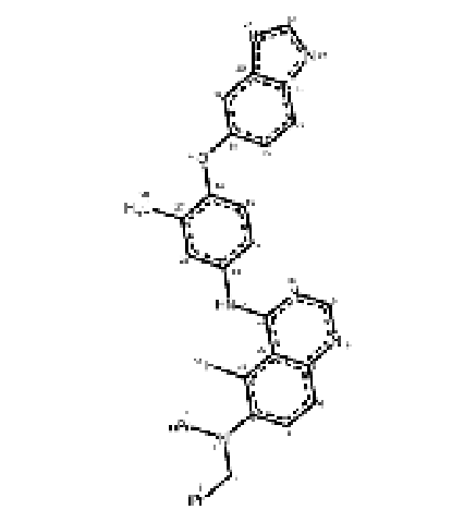 CCCN(CC(C)C)c1ccc2ncnc(Nc3ccc(Oc4ccn5ncnc5c4)c(C)c3)c2c1F